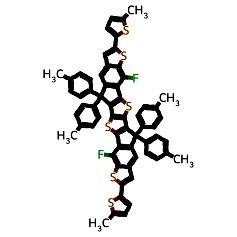 Cc1ccc(C2(c3ccc(C)cc3)c3cc4cc(-c5ccc(C)s5)sc4c(F)c3-c3sc4c5c(sc4c32)-c2c(cc3cc(-c4ccc(C)s4)sc3c2F)C5(c2ccc(C)cc2)c2ccc(C)cc2)cc1